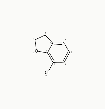 Clc1ccnc2c1OCC2